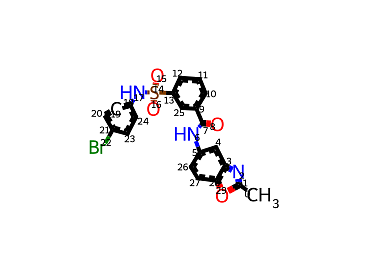 Cc1nc2cc(NC(=O)c3cccc(S(=O)(=O)Nc4ccc(Br)cc4)c3)ccc2o1